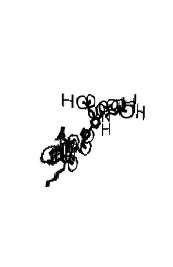 CCCCCC(C(=O)NCNC(=O)c1ccc(-c2ccc(C(=O)NC(CC(=O)O)C(=O)O)c(OCC(=O)O)c2)o1)C(CC)N(C=O)OC(=O)C1CC1C